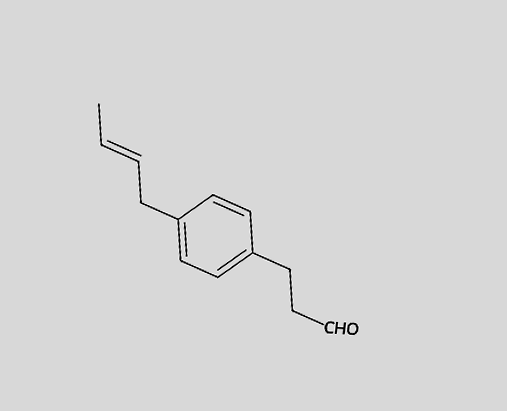 CC=CCc1ccc(CCC=O)cc1